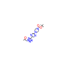 CC(=O)Cn1nnc(-c2cnc(N3CCN(C(=O)OC(C)(C)C)CC3)cn2)n1